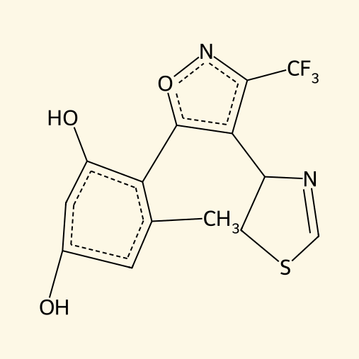 Cc1cc(O)cc(O)c1-c1onc(C(F)(F)F)c1C1CSC=N1